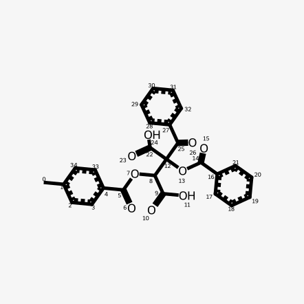 Cc1ccc(C(=O)OC(C(=O)O)C(OC(=O)c2ccccc2)(C(=O)O)C(=O)c2ccccc2)cc1